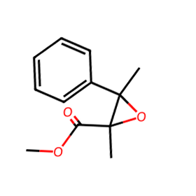 COC(=O)C1(C)OC1(C)c1ccccc1